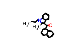 CCCCn1c(C)c(C(=O)c2cccc3ccccc23)c2ccccc21